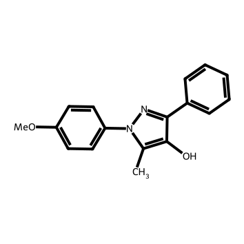 COc1ccc(-n2nc(-c3ccccc3)c(O)c2C)cc1